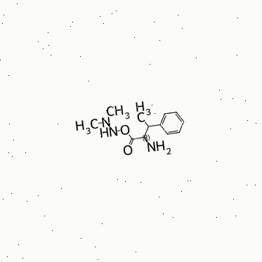 CC(c1ccccc1)[C@@H](N)C(=O)ONN(C)C